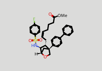 COC(=O)CCC/C=C\C[C@H]1[C@H](NS(=O)(=O)c2ccc(F)cc2)[C@@H]2C[C@@]1(c1ccc(-c3ccccc3)cc1)CO2